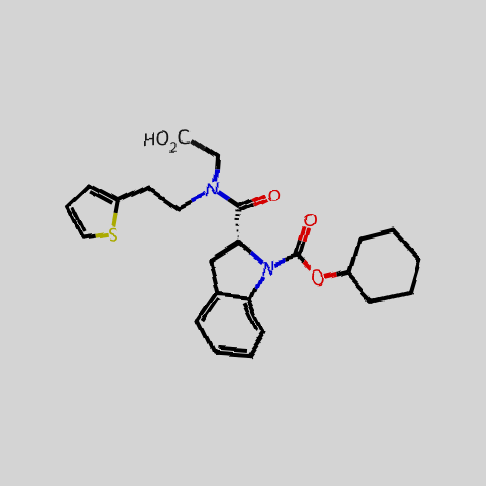 O=C(O)CN(CCc1cccs1)C(=O)[C@H]1Cc2ccccc2N1C(=O)OC1CCCCC1